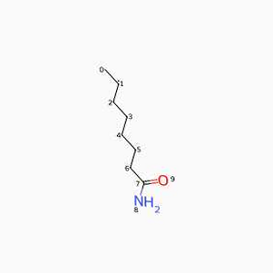 C[CH]CCCCCC(N)=O